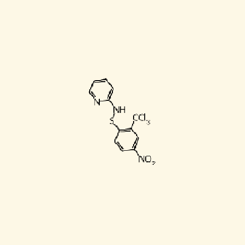 O=[N+]([O-])c1ccc(SNc2ccccn2)c(C(Cl)(Cl)Cl)c1